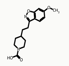 COc1ccc2c(CCC3CCN(C(=O)O)CC3)noc2c1